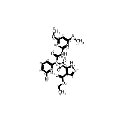 CCOC(=O)c1cn[nH]c1S(=O)(=O)N(C(=O)Nc1nc(OC)cc(OC)n1)c1cccc(Br)n1